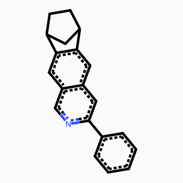 c1ccc(-c2cc3cc4c(cc3cn2)C2CCC4C2)cc1